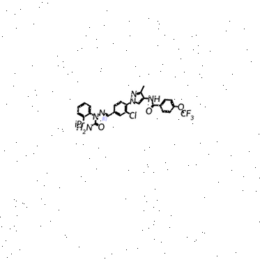 Cc1nn(-c2ccc(/C=N/N(C(N)=O)c3ccccc3C(C)C)cc2Cl)cc1NC(=O)c1ccc(OC(F)(F)F)cc1